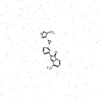 Cn1cnnc1[C@@H]1C[C@@H]1c1cccc(-n2cc3c(C(F)(F)F)cccn3c2=O)c1